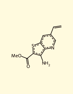 C=Cc1cnc2c(N)c(C(=O)OC)sc2c1